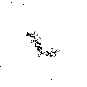 O=C1NC2(CO1)CN(C(=O)N1CC3(C1)CN(S(=O)(=O)NCC1(C(F)(F)F)CC1)C3)C2